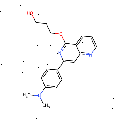 CN(C)c1ccc(-c2cc3ncccc3c(OCCCO)n2)cc1